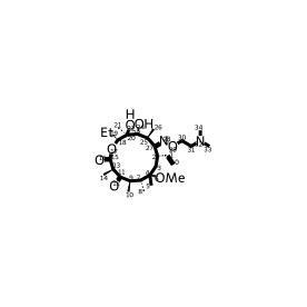 C=C[C@@H]1C[C@@](C)(OC)[C@H](C)[C@@H](C)C(=O)[C@@H](C)C(=O)O[C@H](CC)[C@@](C)(O)[C@H](O)[C@@H](C)/C1=N/OCCN(C)C